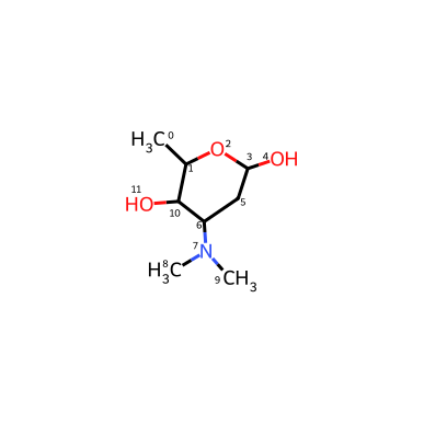 CC1OC(O)CC(N(C)C)C1O